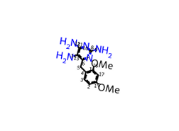 COc1ccc(Cc2nc(N)nc(N)c2N)c(OC)c1